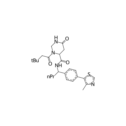 CCCC(NC(=O)C1CC(=O)NCN1C(=O)CC(C)(C)C)c1ccc(-c2scnc2C)cc1